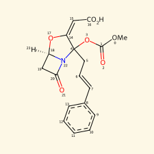 COC(=O)OC1(CC=Cc2ccccc2)C(=CC(=O)O)O[C@@H]2CC(=O)N21